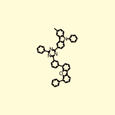 Cc1ccc2c(c1)c1cc(-c3nc(-c4ccccc4)nc(-c4cccc(-c5cccc6c5oc5c(-c7ccccc7)cccc56)c4)n3)ccc1n2-c1ccccc1